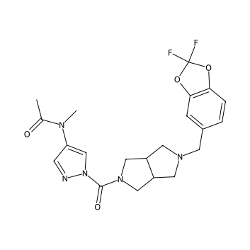 CC(=O)N(C)c1cnn(C(=O)N2CC3CN(Cc4ccc5c(c4)OC(F)(F)O5)CC3C2)c1